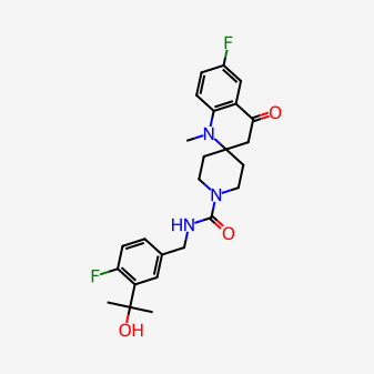 CN1c2ccc(F)cc2C(=O)CC12CCN(C(=O)NCc1ccc(F)c(C(C)(C)O)c1)CC2